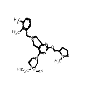 Cc1cccc(CN2Cc3nc(OCC4CCCN4C)nc(N4CCN(C(=O)O)[C@@H](CC#N)C4)c3C2)c1C